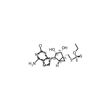 CCOP(C)(=S)SC[C@]12C[C@@H]1[C@@H](n1cnc3c(N)nc(Cl)nc31)[C@H](O)[C@@H]2O